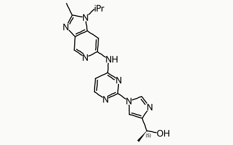 Cc1nc2cnc(Nc3ccnc(-n4cnc([C@H](C)O)c4)n3)cc2n1C(C)C